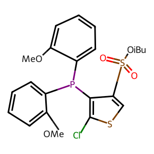 COc1ccccc1P(c1ccccc1OC)c1c(S(=O)(=O)OCC(C)C)csc1Cl